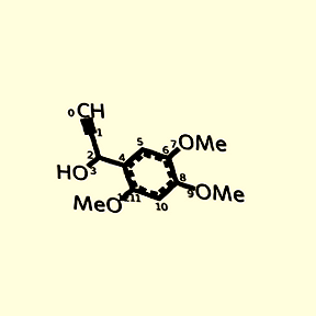 C#CC(O)c1cc(OC)c(OC)cc1OC